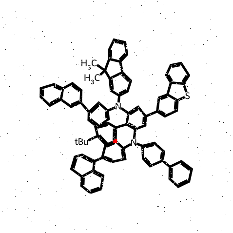 CC(C)(C)c1ccc(-c2c(N(c3ccc(-c4ccccc4)cc3)c3ccc(-c4cccc5ccccc45)cc3)cc(-c3ccc4sc5ccccc5c4c3)cc2N(c2cccc(-c3ccc4ccccc4c3)c2)c2ccc3c(c2)C(C)(C)c2ccccc2-3)cc1